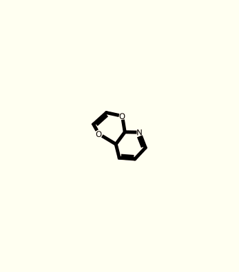 C1=CC2OC=COC2N=C1